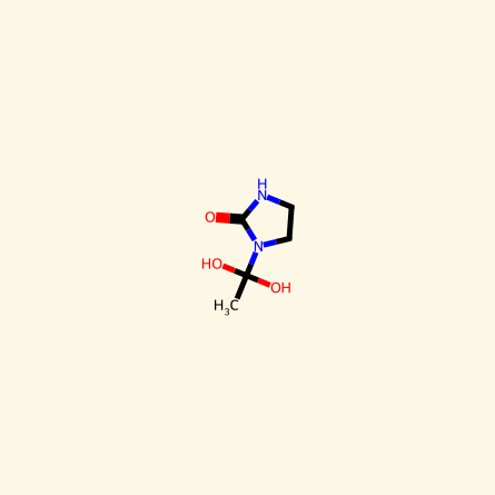 CC(O)(O)N1CCNC1=O